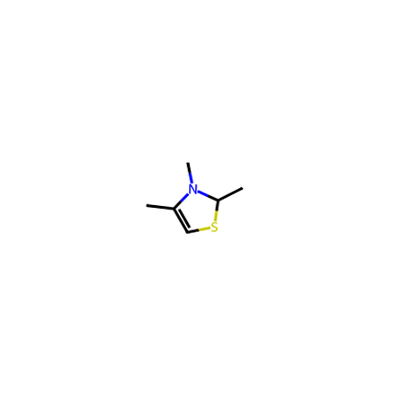 CC1=CSC(C)N1C